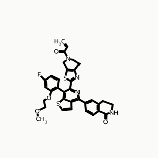 C=CC(=O)N1CCc2nc(-c3nc(-c4ccc5c(c4)CCNC5=O)c4ccsc4c3-c3ccc(F)cc3OCCOC)sc2C1